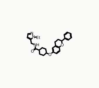 CCn1nccc1CNC(=O)C1CCC(Oc2ccc3c(c2)CCC(c2ccccc2)O3)CC1